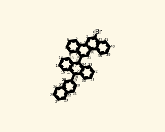 Brc1cc2c3ccccc3c(-c3c4ccccc4c(-c4ccc5ccccc5c4)c4ccccc34)cc2c2ccccc12